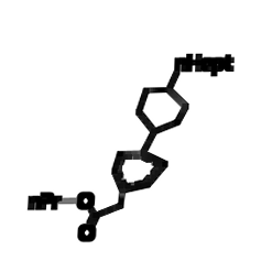 CCCCCCCC1CCC(c2ccc(CC(=O)OCCC)cc2)CC1